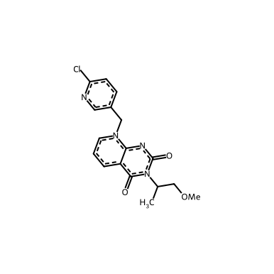 COCC(C)n1c(=O)nc2n(Cc3ccc(Cl)nc3)cccc-2c1=O